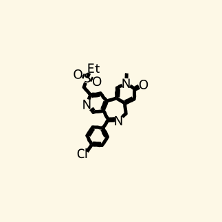 CCS(=O)(=O)Cc1cc2c(cn1)C(c1ccc(Cl)cc1)=NCc1cc(=O)n(C)cc1-2